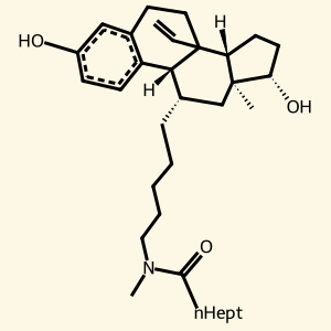 C=CC12CCc3cc(O)ccc3[C@H]1[C@@H](CCCCCN(C)C(=O)CCCCCCC)C[C@]1(C)[C@@H](O)CC[C@@H]21